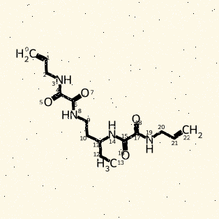 C=CCNC(=O)C(=O)NCCC(CC)NC(=O)C(=O)NCC=C